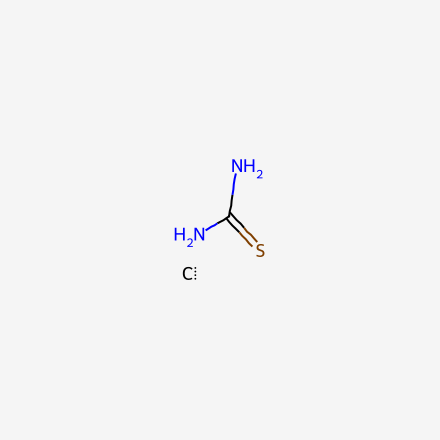 NC(N)=S.[C]